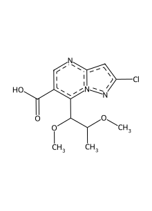 COC(C)C(OC)c1c(C(=O)O)cnc2cc(Cl)nn12